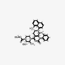 Cc1cccc2cccc(N3CCc4c(N5CCN(C(=O)OC(C)(C)C)[C@@H](C(C)(C)C)C5C)nc(=O)n(-c5ccccc5C(C)C)c4C3)c12